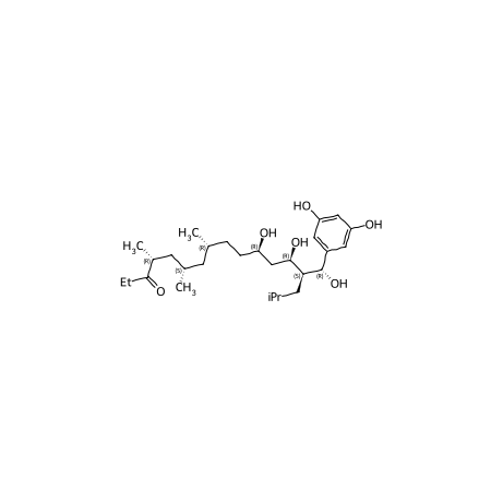 CCC(=O)[C@H](C)C[C@@H](C)C[C@H](C)CC[C@@H](O)C[C@@H](O)[C@H](CC(C)C)[C@@H](O)c1cc(O)cc(O)c1